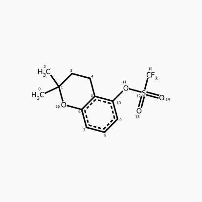 CC1(C)CCc2c(cccc2OS(=O)(=O)C(F)(F)F)O1